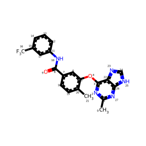 Cc1nc(Oc2cc(C(=O)Nc3cccc(C(F)(F)F)c3)ccc2C)c2nc[nH]c2n1